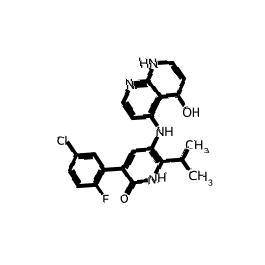 CC(C)c1[nH]c(=O)c(-c2cc(Cl)ccc2F)cc1Nc1ccnc2c1C(O)C=CN2